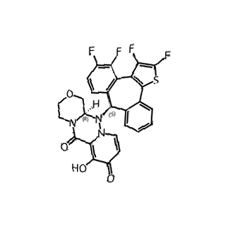 O=C1c2c(O)c(=O)ccn2N([C@@H]2c3ccccc3-c3sc(F)c(F)c3-c3c2ccc(F)c3F)[C@@H]2COCCN12